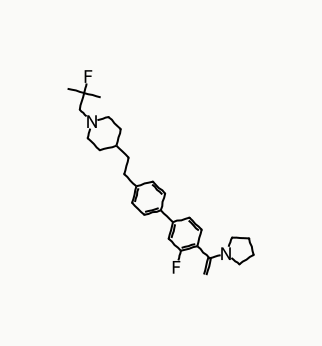 C=C(c1ccc(-c2ccc(CCC3CCN(CC(C)(C)F)CC3)cc2)cc1F)N1CCCC1